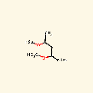 CCCCCCC(CC(C)OCCCC)OC(=O)O